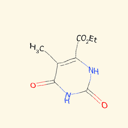 CCOC(=O)c1[nH]c(=O)[nH]c(=O)c1C